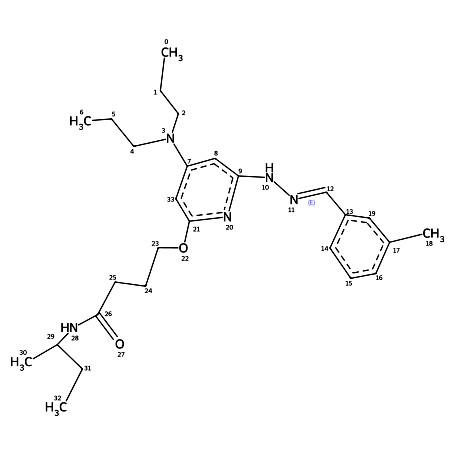 CCCN(CCC)c1cc(N/N=C/c2cccc(C)c2)nc(OCCCC(=O)NC(C)CC)c1